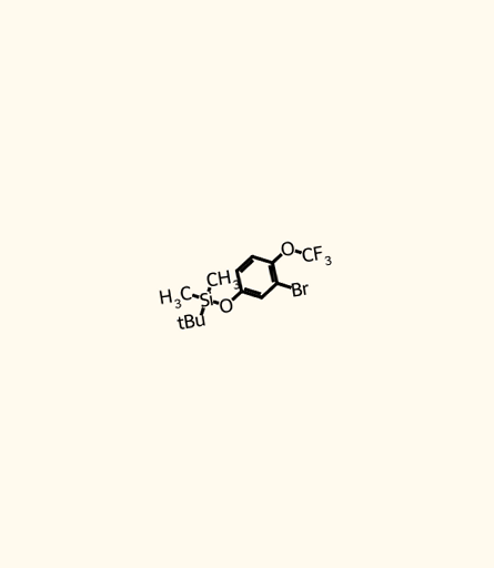 CC(C)(C)[Si](C)(C)Oc1ccc(OC(F)(F)F)c(Br)c1